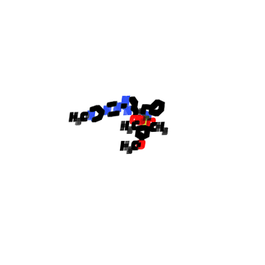 COc1cc(C)c(S(=O)(=O)N2c3ccccc3C[C@H]2C(O)c2ccnc(N3CCN(C4CCN(C)CC4)CC3)n2)c(C)c1